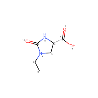 CCN1C[C@@H](C(=O)O)NC1=O